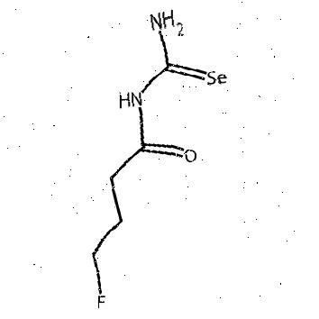 NC(=[Se])NC(=O)CCCF